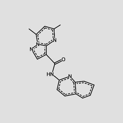 Cc1cc(C)n2ncc(C(=O)Nc3ccc4ccccc4n3)c2n1